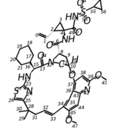 C=C[C@@H]1C[C@]1(NC(=O)[C@@H]1C[C@@H]2CN1C(=O)[C@H](C1CCCCC1)Nc1nc(cs1)C(C)(C)C/C=C/c1cc3c(cc(OC)nc3cc1OC)O2)C(=O)NS(=O)(=O)C1CC1